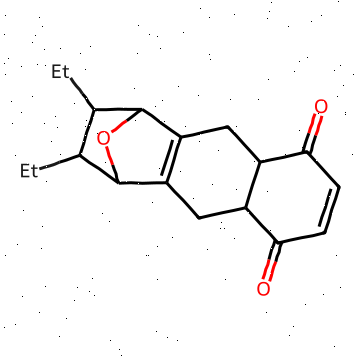 CCC1C2OC(C3=C2CC2C(=O)C=CC(=O)C2C3)C1CC